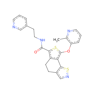 Cc1ncccc1Oc1sc(C(=O)NCCc2cccnc2)c2c1-c1sncc1CC2